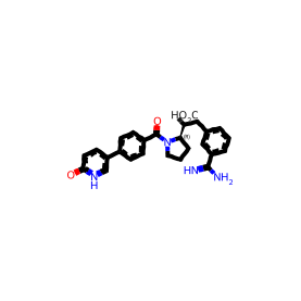 N=C(N)c1cccc(CC(C(=O)O)[C@H]2CCCN2C(=O)c2ccc(-c3ccc(=O)[nH]c3)cc2)c1